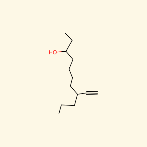 C#CC(CCC)CCCCC(O)CC